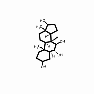 C[C@]12CC[C@H](O)C[C@@H]1[C@@H](O)[C@H](O)[C@@H]1[C@@H]2CC[C@]2(C)[C@@H](O)CC[C@@H]12